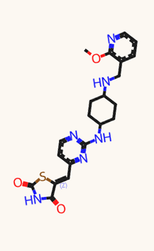 COc1ncccc1CNC1CCC(Nc2nccc(/C=C3\SC(=O)NC3=O)n2)CC1